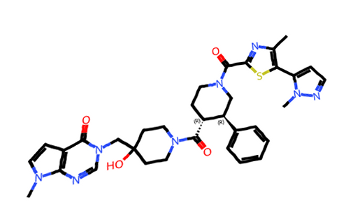 Cc1nc(C(=O)N2CC[C@@H](C(=O)N3CCC(O)(Cn4cnc5c(ccn5C)c4=O)CC3)[C@H](c3ccccc3)C2)sc1-c1ccnn1C